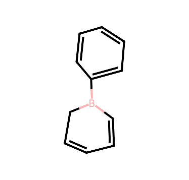 C1=CCB(c2ccccc2)C=C1